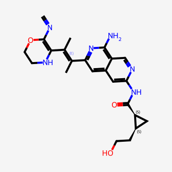 C=NC1=C(/C(C)=C(\C)c2cc3cc(NC(=O)[C@H]4C[C@H]4CCO)ncc3c(N)n2)NCCO1